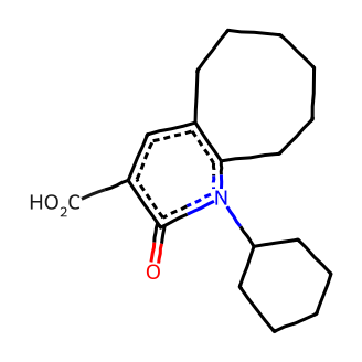 O=C(O)c1cc2c(n(C3CCCCC3)c1=O)CCCCCC2